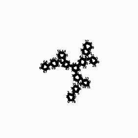 c1ccc(-c2ccc(-n3c4ccccc4c4cc(-c5cc(-c6ccc(N(c7ccccc7)c7ccc8ccccc8c7)cc6)cc(-c6ccc7c(c6)c6ccccc6n7-c6ccc(-c7ccccc7)cc6)c5)ccc43)cc2)cc1